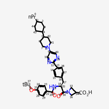 CCCC1CCC(C2CCN(c3cnc(-c4ccc(C[C@H](NC(=O)c5ccc(OC(C)(C)C)cc5)C(=O)N5CC(C(=O)O)C5)cc4)nc3)CC2)CC1